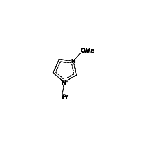 COn1cc[n+](C(C)C)c1